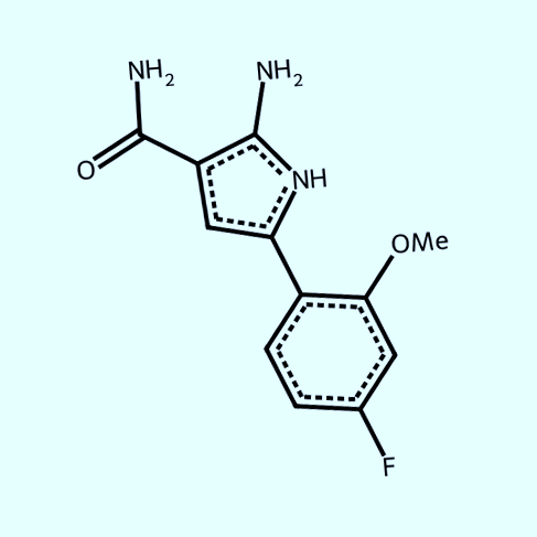 COc1cc(F)ccc1-c1cc(C(N)=O)c(N)[nH]1